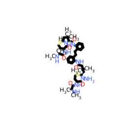 CN[C@@H](C)C(=O)N[C@H]1CCS[C@@H](CC(C)(C)CC(=O)Nc2ccccc2CCc2ccccc2NC(=O)[C@H]2N3C(=O)[C@@H](NC(=O)[C@H](C)NC)CCS[C@H]3CC2(C)C)N(N)C1=O